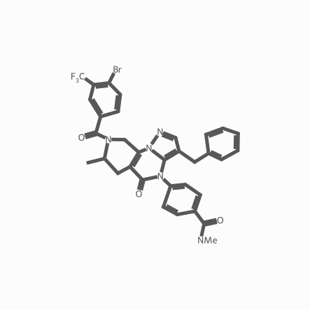 CNC(=O)c1ccc(-n2c(=O)c3c(n4ncc(Cc5ccccc5)c24)CN(C(=O)c2ccc(Br)c(C(F)(F)F)c2)C(C)C3)cc1